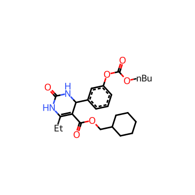 CCCCOC(=O)Oc1cccc(C2NC(=O)NC(CC)=C2C(=O)OCC2CCCCC2)c1